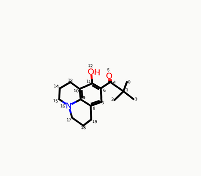 CC(C)(C)C(=O)c1cc2c3c(c1O)CCCN3CCC2